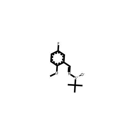 COc1ccc(F)cc1/C=N/[S@+]([O-])C(C)(C)C